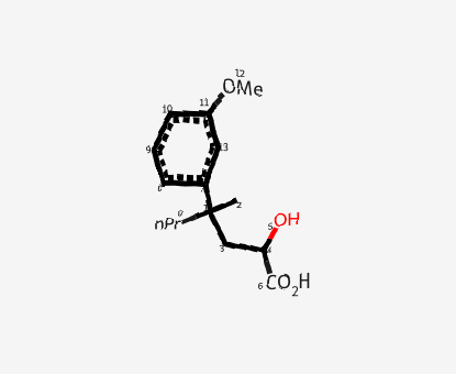 CCCC(C)(CC(O)C(=O)O)c1cccc(OC)c1